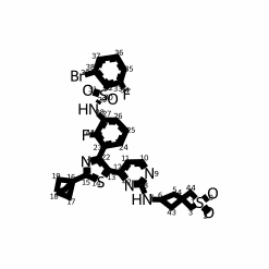 O=S1(=O)CC2(CC(Nc3nccc(-c4sc(C56CC(C5)C6)nc4-c4cccc(NS(=O)(=O)c5c(F)cccc5Br)c4F)n3)C2)C1